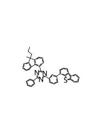 CCCC1(C)c2ccccc2-c2c(-c3nc(-c4ccccc4)nc(-c4cccc(-c5cccc6c5sc5ccccc56)c4)n3)cccc21